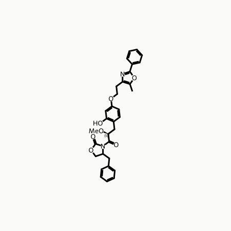 CO[C@@H](Cc1ccc(OCCc2nc(-c3ccccc3)oc2C)cc1O)C(=O)N1C(=O)OCC1Cc1ccccc1